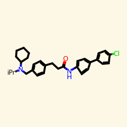 CC(C)N(Cc1ccc(CCC(=O)Nc2ccc(-c3ccc(Cl)cc3)cc2)cc1)C1CCCCC1